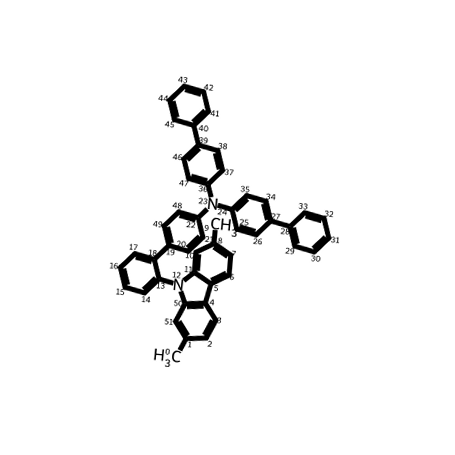 Cc1ccc2c3ccc(C)cc3n(-c3ccccc3-c3ccc(N(c4ccc(-c5ccccc5)cc4)c4ccc(-c5ccccc5)cc4)cc3)c2c1